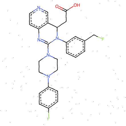 O=C(O)CC1c2cnccc2N=C(N2CCN(c3ccc(F)cc3)CC2)N1c1cccc(CF)c1